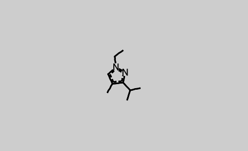 CCn1cc(C)c(C(C)C)n1